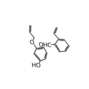 C=CCOc1cccc(O)c1.C=Cc1ccccc1C=O